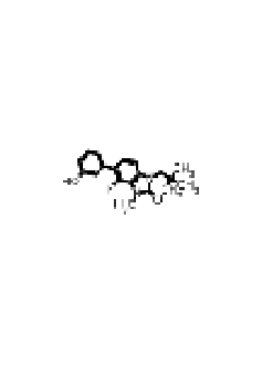 Cn1c(=O)n(CC(C)(C)C)c2ccc(-c3cccc(O)c3)c(F)c21